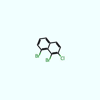 Clc1ccc2cccc(Br)c2c1Br